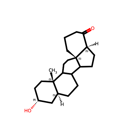 C[C@]12CC[C@@H](O)C[C@@H]1CCC1C3CC[C@@H]4C(=O)CCC[C@]34CCC12